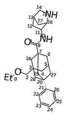 CCOCC12CC3CC(C(=O)NC4CC5CNC4C5)(C1)C[C@@](c1ccccc1)(C3)C2